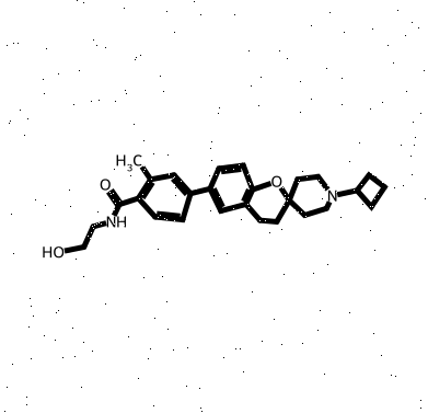 Cc1cc(-c2ccc3c(c2)CCC2(CCN(C4CCC4)CC2)O3)ccc1C(=O)NCCO